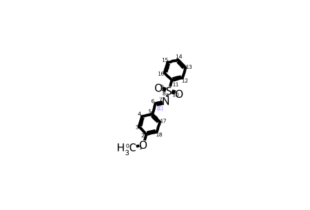 COc1ccc(/C=N/S(=O)(=O)c2ccccc2)cc1